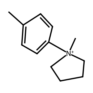 Cc1ccc([N+]2(C)CCCC2)cc1